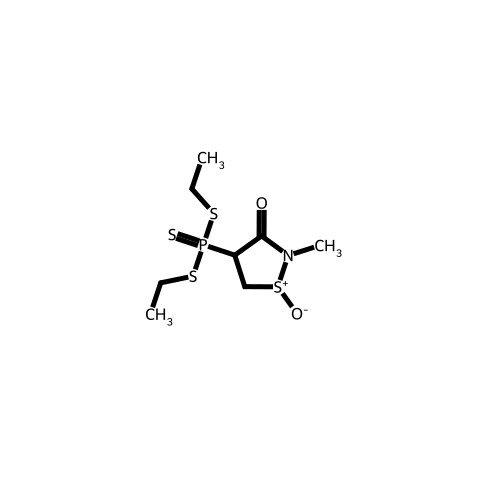 CCSP(=S)(SCC)C1C[S+]([O-])N(C)C1=O